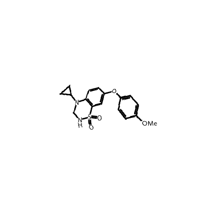 COc1ccc(Oc2ccc3c(c2)S(=O)(=O)NCN3C2CC2)cc1